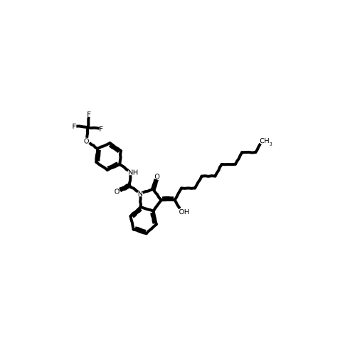 CCCCCCCCCC(O)=C1C(=O)N(C(=O)Nc2ccc(OC(F)(F)F)cc2)c2ccccc21